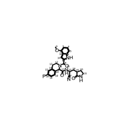 COc1cccc2[nH]c(C(=O)N3CCc4cc(F)ccc4C3C(=O)NC(C#N)CC3CCNC3=O)cc12